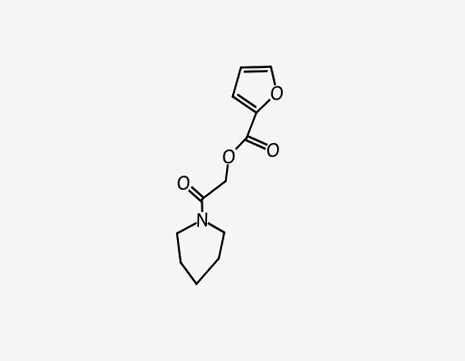 O=C(OCC(=O)N1CCCCC1)c1ccco1